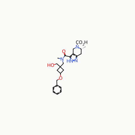 C[C@@H]1Cc2n[nH]c(C(=O)N(C)CC3(CO)CC(OCc4ccccc4)C3)c2CN1C(=O)O